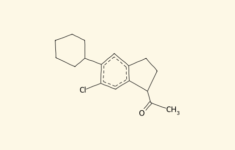 CC(=O)C1CCc2cc(C3CCCCC3)c(Cl)cc21